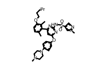 Cc1ccc(OCCC(C)C)c(C)c1-c1cc(Oc2ccc(N3CCN(C)CC3)cc2)nc(NS(=O)(=O)c2cnn(C)c2)n1